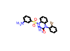 NC(=O)N(c1ccccc1Br)c1ccccc1NS(=O)(=O)c1cccc(N)c1